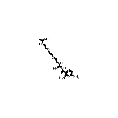 CC(=N)NCCOCCOCCNC(=N)NC(=O)c1nc(Cl)c(N)nc1N